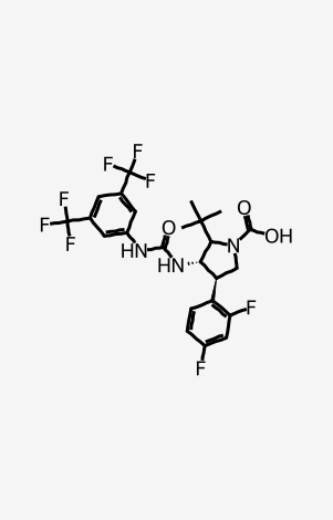 CC(C)(C)C1[C@@H](NC(=O)Nc2cc(C(F)(F)F)cc(C(F)(F)F)c2)[C@H](c2ccc(F)cc2F)CN1C(=O)O